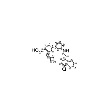 O=C(O)c1ccc(-c2cc(NCCc3ccc(Cl)c4ccccc34)ncn2)cc1OC1CCC1